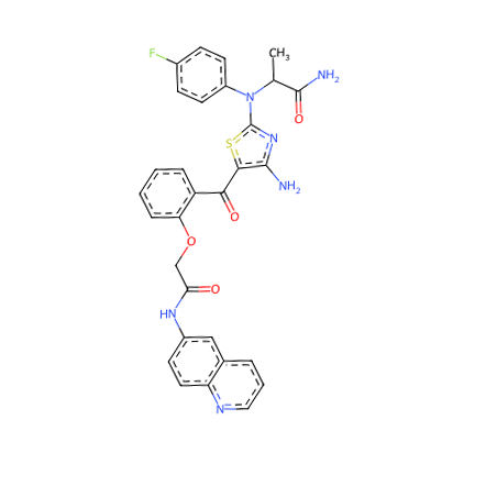 CC(C(N)=O)N(c1ccc(F)cc1)c1nc(N)c(C(=O)c2ccccc2OCC(=O)Nc2ccc3ncccc3c2)s1